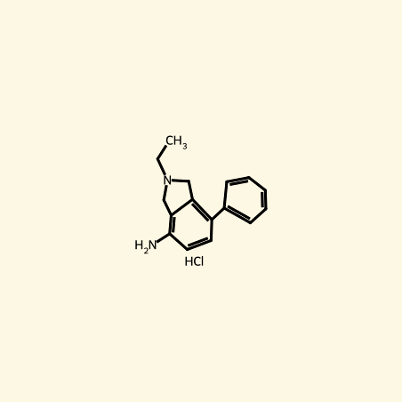 CCN1Cc2c(N)ccc(-c3ccccc3)c2C1.Cl